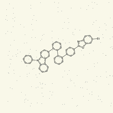 CCc1ccc2nc(-c3ccc(-c4ccccc4-c4ccccc4-c4ccc5c(c4)c4ccccc4n5-c4ccccc4)cc3)oc2c1